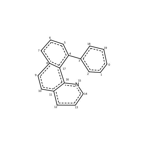 c1ccc(-c2cccc3ccc4cccnc4c23)cc1